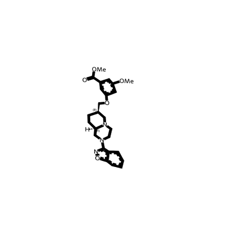 COC(=O)c1cc(OC)cc(OC[C@@H]2CC[C@@H]3CN(c4noc5ccccc45)CCN3C2)c1